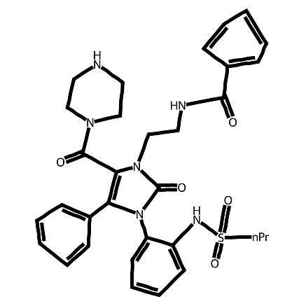 CCCS(=O)(=O)Nc1ccccc1-n1c(-c2ccccc2)c(C(=O)N2CCNCC2)n(CCNC(=O)c2ccccc2)c1=O